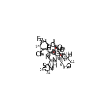 COC(=O)C1=C(CN2C3COC[C@H]2CN(S(N)(=O)=O)C3)NC(c2nccs2)=NC1c1ccc(F)cc1Cl